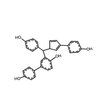 Oc1ccc(C2=CC(C(c3ccc(O)cc3)c3cc(-c4ccc(O)cc4)ccc3O)C=C2)cc1